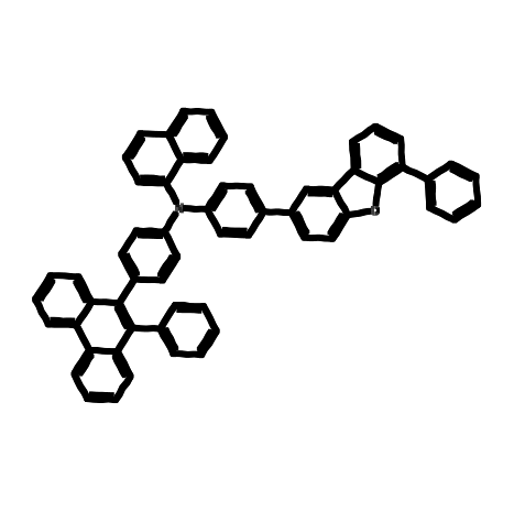 c1ccc(-c2c(-c3ccc(N(c4ccc(-c5ccc6oc7c(-c8ccccc8)cccc7c6c5)cc4)c4cccc5ccccc45)cc3)c3ccccc3c3ccccc23)cc1